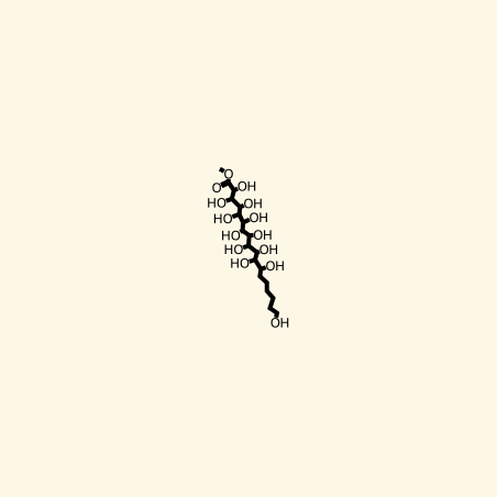 COC(=O)C(O)C(O)C(O)C(O)C(O)C(O)C(O)C(O)C(O)C(O)C(O)CCCCCCO